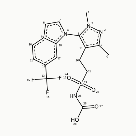 Cc1nn(C)c(-n2ccc3ccc(C(F)(F)F)cc32)c1CCS(=O)(=O)NC(=O)O